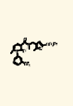 CCOC(=O)c1cc(CNC(=O)c2ccc(C)n(-c3cccc(C(F)(F)F)c3)c2=O)c(C)o1